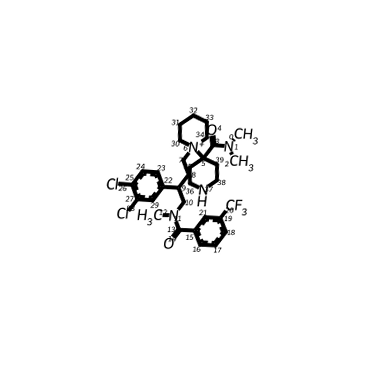 CN(C)C(=O)C1([N+]2(CCC(CN(C)C(=O)c3cccc(C(F)(F)F)c3)c3ccc(Cl)c(Cl)c3)CCCCC2)CCNCC1